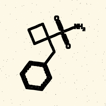 NS(=O)(=O)C1(Cc2ccccc2)CCC1